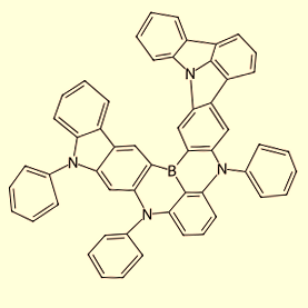 c1ccc(N2c3cc4c5cccc6c7ccccc7n(c4cc3B3c4cc7c8ccccc8n(-c8ccccc8)c7cc4N(c4ccccc4)c4cccc2c43)c65)cc1